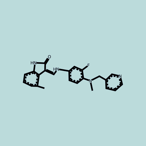 Cc1cccc2c1C(=CNc1ccc(N(C)Cc3cccnc3)c(F)c1)C(=O)N2